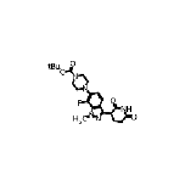 Cn1nc(C2CCC(=O)NC2=O)c2ccc(N3CCN(C(=O)OC(C)(C)C)CC3)c(F)c21